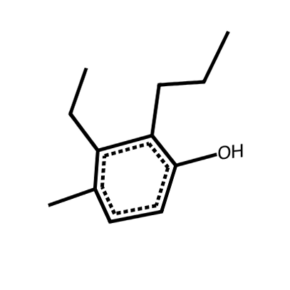 CCCc1c(O)ccc(C)c1CC